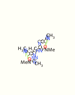 CNC(=O)c1c[nH]c2c(C(C)CC3Cc4cc(-c5cnn(C)c5)c(C(F)F)cc4N(c4ncc5c(n4)c(C(=O)NC)cn5C)C3)cc(N3CCCc4cc(-c5cnn(C)c5)c(C(F)F)cc43)cc12